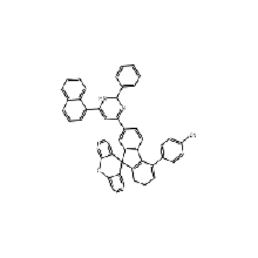 N#Cc1ccc(C2=CCCC3=C2c2ccc(C4=NC(c5ccccc5)NC(c5cccc6ccccc56)=C4)cc2C32c3ccccc3Oc3ccccc32)cc1